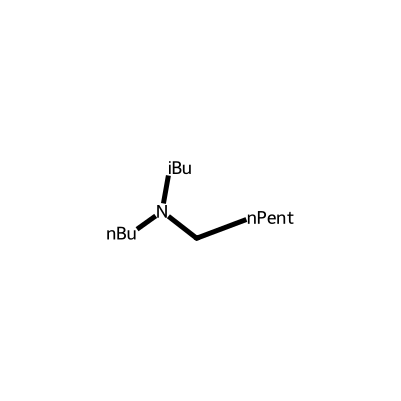 CCCCCCN(CCCC)C(C)CC